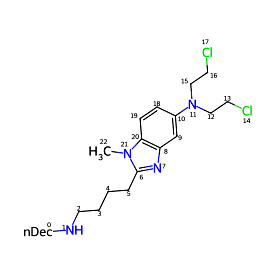 CCCCCCCCCCNCCCCc1nc2cc(N(CCCl)CCCl)ccc2n1C